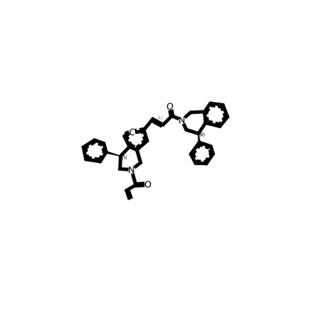 C=CC(=O)N1Cc2cc(/C=C/C(=O)N3Cc4ccccc4[C@@H](c4ccccc4)C3)ccc2[C@H](c2ccccc2)C1